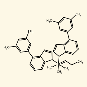 CC[CH]=[Hf]([CH3])([CH3])([CH3])([CH]1C=Cc2c(-c3cc(C)cc(C)c3)cccc21)[CH]1C=Cc2c(-c3cc(C)cc(C)c3)cccc21